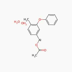 CC(=O)[O][Al][c]1ccc(C)c(Oc2ccccc2)c1.O.O